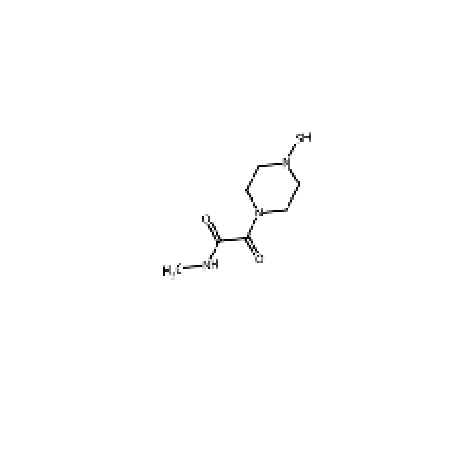 CNC(=O)C(=O)N1CCN(S)CC1